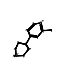 Cc1cc(C2CCNCC2)ccn1